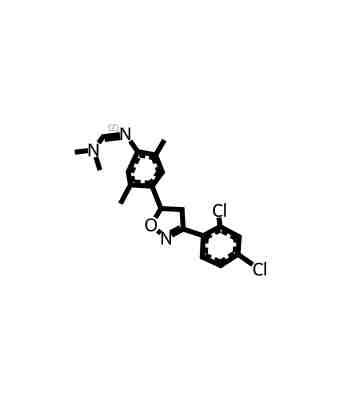 Cc1cc(C2CC(c3ccc(Cl)cc3Cl)=NO2)c(C)cc1/N=C\N(C)C